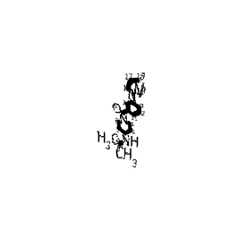 CC(C)NC1CCN(C(=O)c2cccc(-n3cccn3)c2)CC1